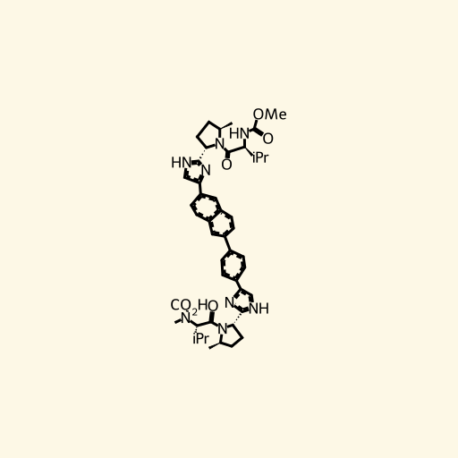 COC(=O)N[C@H](C(=O)N1[C@H](C)CC[C@H]1c1nc(-c2ccc3cc(-c4ccc(-c5c[nH]c([C@@H]6CC[C@@H](C)N6C(=O)[C@H](C(C)C)N(C)C(=O)O)n5)cc4)ccc3c2)c[nH]1)C(C)C